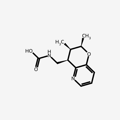 C[C@@H]1[C@H](CNC(=O)O)c2ncccc2O[C@@H]1C